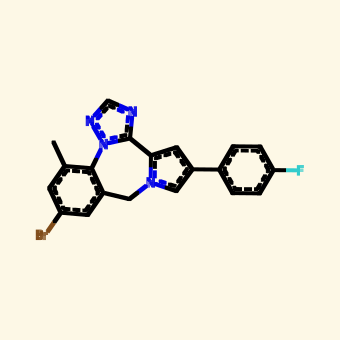 Cc1cc(Br)cc2c1-n1ncnc1-c1cc(-c3ccc(F)cc3)cn1C2